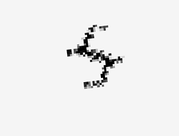 CCCCCCCCCCCCCCc1cc(Br)sc1-c1nc2sc(-c3sc(Br)cc3CCCCCCCCCCCCCC)nc2s1